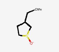 COCC1CC[S+]([O-])C1